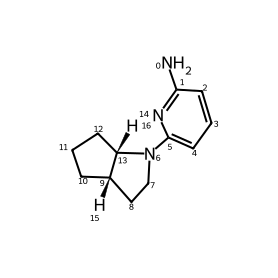 Nc1cccc(N2CC[C@@H]3CCC[C@@H]32)n1